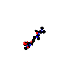 CC(C)(C)c1cc2c3cc4c(cc3n3c5cc6c7ccccc7n(-c7cccc(-c8ccc9c(c8)oc8c9ccc9c8c8cc%10oc%11ccccc%11c%10c%10c%11c%12c(ccc%11n9c8%10)c8ccccc8n%12-c8ccccc8)c7)c6cc5c(c1)c23)c1ccccc1n4-c1ccccc1